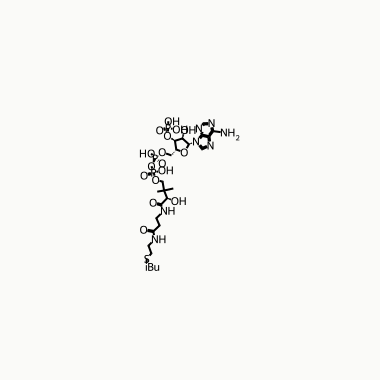 CCC(C)SCCNC(=O)CCNC(=O)[C@H](O)C(C)(C)COP(=O)(O)OP(=O)(O)OC[C@H]1O[C@@H](n2cnc3c(N)ncnc32)[C@H](O)[C@@H]1OP(=O)(O)O